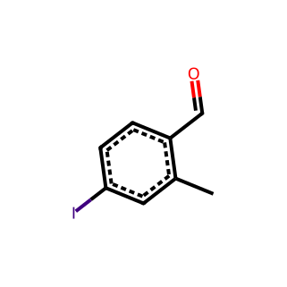 Cc1cc(I)ccc1C=O